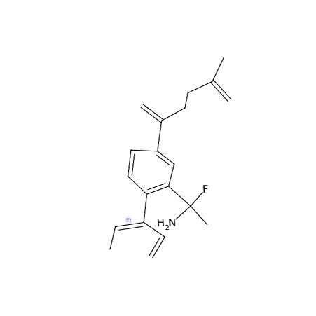 C=C/C(=C\C)c1ccc(C(=C)CCC(=C)C)cc1C(C)(N)F